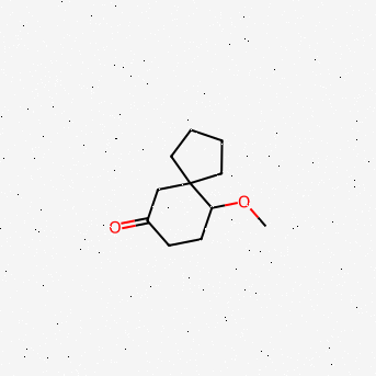 COC1CCC(=O)CC12CCCC2